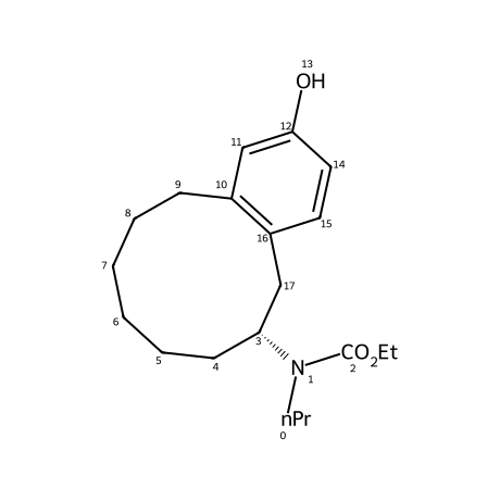 CCCN(C(=O)OCC)[C@@H]1CCCCCCc2cc(O)ccc2C1